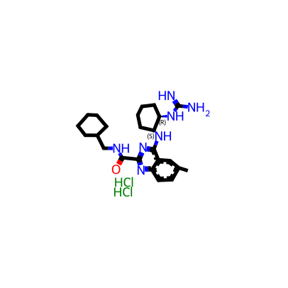 Cc1ccc2nc(C(=O)NCC3CCCCC3)nc(N[C@H]3CCCC[C@H]3NC(=N)N)c2c1.Cl.Cl